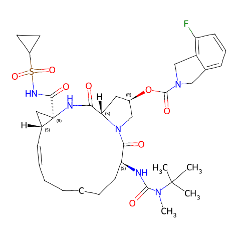 CN(C(=O)N[C@H]1CCCCCC=C[C@@H]2C[C@@]2(C(=O)NS(=O)(=O)C2CC2)NC(=O)[C@@H]2C[C@@H](OC(=O)N3Cc4cccc(F)c4C3)CN2C1=O)C(C)(C)C